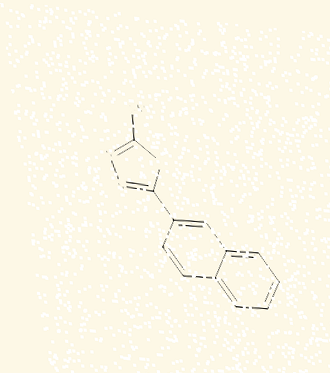 CSc1nnc(-c2ccc3ccccc3c2)s1